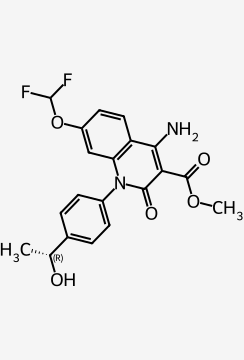 COC(=O)c1c(N)c2ccc(OC(F)F)cc2n(-c2ccc([C@@H](C)O)cc2)c1=O